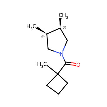 C[C@@H]1CN(C(=O)C2(C)CCC2)C[C@@H]1C